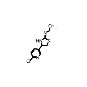 CCN=C1NC(c2ccc(Cl)nc2)CS1